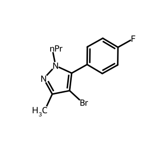 CCCn1nc(C)c(Br)c1-c1ccc(F)cc1